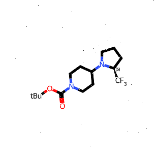 CC(C)(C)OC(=O)N1CCC(N2CCC[C@H]2C(F)(F)F)CC1